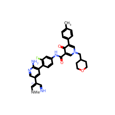 CN/C=C(\C=N)c1cnc(N)c(-c2ccc(NC(=O)c3cn(CC4CCOCC4)cc(-c4ccc(C)cc4)c3=O)cc2F)c1